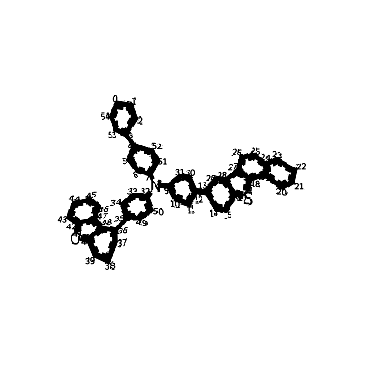 c1ccc(-c2ccc(N(c3ccc(-c4ccc5sc6c7ccccc7ccc6c5c4)cc3)c3ccc(-c4cccc5oc6ccccc6c45)cc3)cc2)cc1